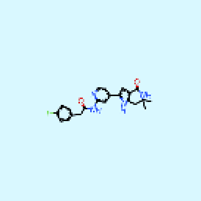 CC1(C)Cc2[nH]c(-c3ccnc(NC(=O)Cc4ccc(F)cc4)c3)cc2C(=O)N1